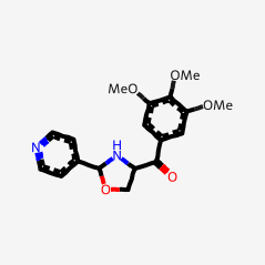 COc1cc(C(=O)C2COC(c3ccncc3)N2)cc(OC)c1OC